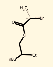 CCCCC(CC)COC(=O)[C@H](C)Br